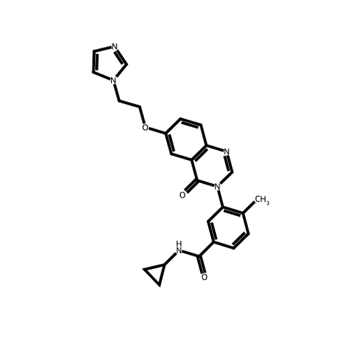 Cc1ccc(C(=O)NC2CC2)cc1-n1cnc2ccc(OCCn3ccnc3)cc2c1=O